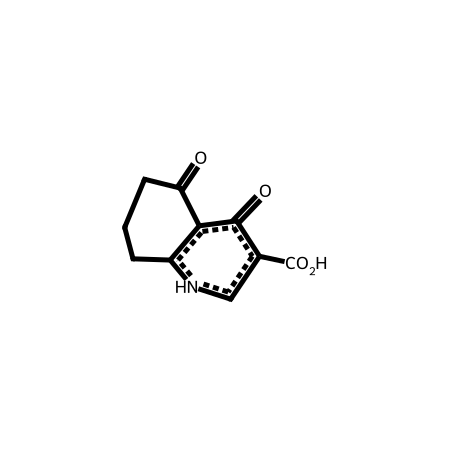 O=C(O)c1c[nH]c2c(c1=O)C(=O)CCC2